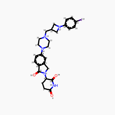 O=C1CCC(N2Cc3cc(N4CCN(CC5CN(c6ccc(I)cc6)C5)CC4)ccc3C2=O)C(=O)N1